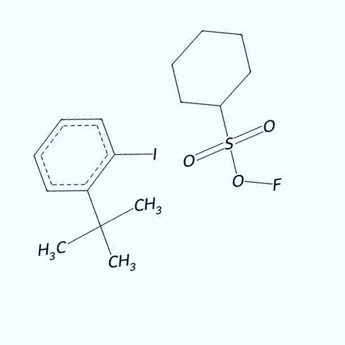 CC(C)(C)c1ccccc1I.O=S(=O)(OF)C1CCCCC1